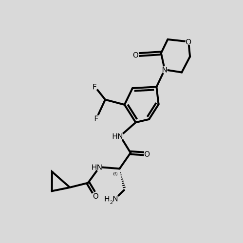 NC[C@H](NC(=O)C1CC1)C(=O)Nc1ccc(N2CCOCC2=O)cc1C(F)F